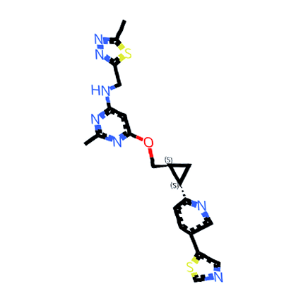 Cc1nc(NCc2nnc(C)s2)cc(OC[C@H]2C[C@@H]2c2ccc(-c3cncs3)cn2)n1